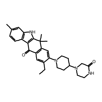 CCc1cc2c(cc1N1CCC(N3CCNC(=O)C3)CC1)C(C)(C)c1[nH]c3cc(C)ccc3c1C2=O